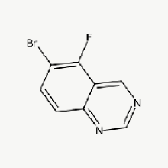 Fc1c(Br)ccc2ncncc12